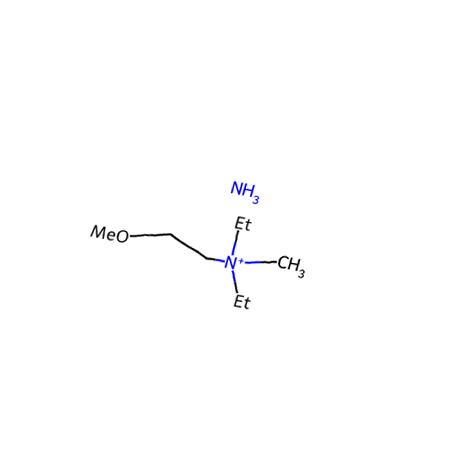 CC[N+](C)(CC)CCOC.N